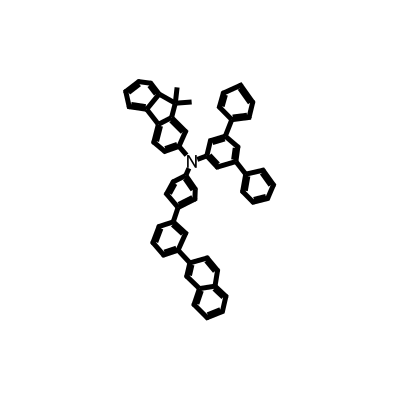 CC1(C)c2ccccc2-c2ccc(N(c3ccc(-c4cccc(-c5ccc6ccccc6c5)c4)cc3)c3cc(-c4ccccc4)cc(-c4ccccc4)c3)cc21